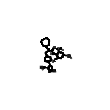 Cc1cc(C)c(NC(=O)N(Cc2ccc(-c3c[nH]nc3C)cc2)C2CCCCCC2)c(C)c1